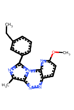 CCc1cccc(-c2nc(C)c3nnc4ccc(OC)nc4n23)c1